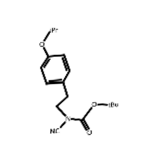 CC(C)Oc1ccc(CCN(C#N)C(=O)OC(C)(C)C)cc1